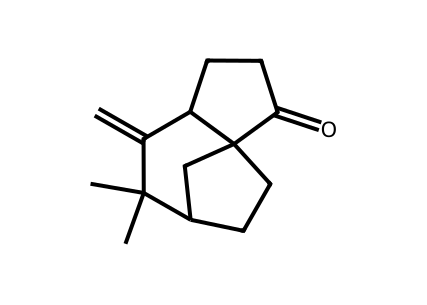 C=C1C2CCC(=O)C23CCC(C3)C1(C)C